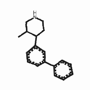 CC1CNCCC1c1cccc(-c2ccccc2)c1